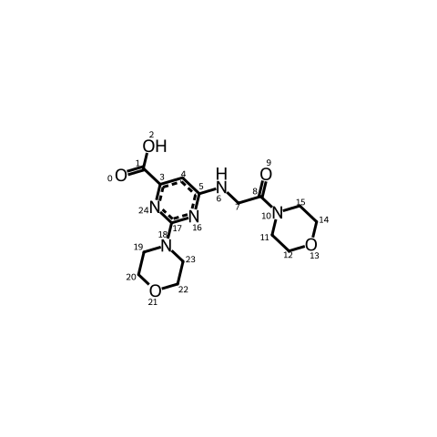 O=C(O)c1cc(NCC(=O)N2CCOCC2)nc(N2CCOCC2)n1